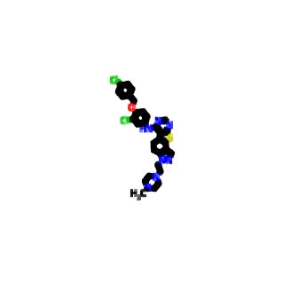 CN1CCN(CCn2ncc3c2CCc2c-3sc3ncnc(Nc4ccc(OCc5ccc(Cl)cc5)c(Cl)c4)c23)CC1